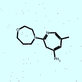 CC1=CN=C(N2CCCOCC2)CC(P)=C1